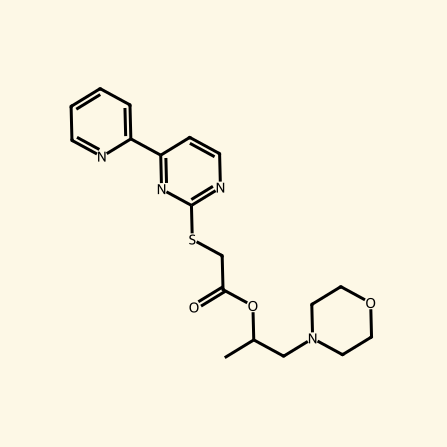 CC(CN1CCOCC1)OC(=O)CSc1nccc(-c2ccccn2)n1